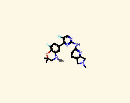 CCC(C)N1CC(C)(C)Oc2c(F)cc(-c3nc(Nc4ccc5c(n4)CN(C)C5)ncc3F)cc21